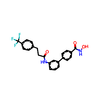 O=C(CCc1ccc(C(F)(F)F)cc1)Nc1cccc(-c2ccc(C(=O)NO)cc2)c1